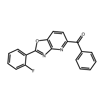 O=C(c1ccccc1)c1ccc2oc(-c3ccccc3F)nc2n1